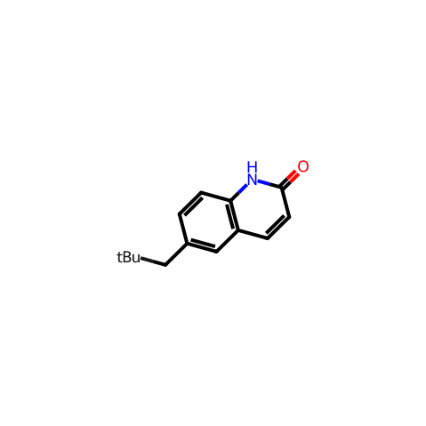 CC(C)(C)Cc1ccc2[nH]c(=O)ccc2c1